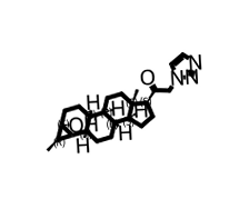 C[C@@H]1C2[C@@H]3CC[C@@H]4[C@H](CC[C@]5(C)[C@@H](C(=O)Cn6ccnn6)CC[C@@H]45)[C@H]3CC[C@@]21O